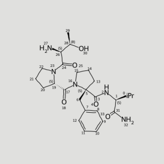 CC(C)[C@H](NC(=O)[C@@]1(Cc2ccccc2)CCCN1C(=O)[C@@H]1CCCN1C(=O)[C@@H](N)[C@@H](C)O)C(N)=O